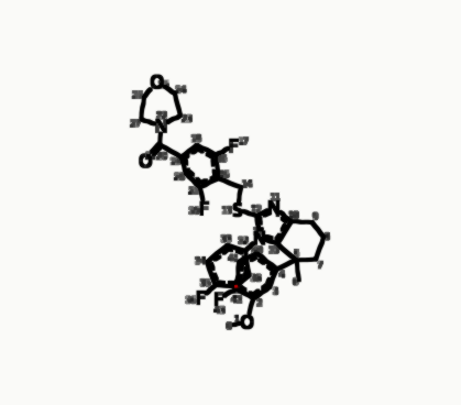 COc1cc(C2(C)CCCc3nc(SCc4c(F)cc(C(=O)N5CCOCC5)cc4F)n(-c4ccc(F)cc4)c32)ccc1F